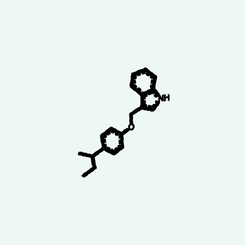 CCC(C)c1ccc(OCc2c[nH]c3ccccc23)cc1